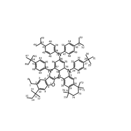 CCc1cc2c3c(oc2cc1C(C)(C)CC)B1c2cc4c(cc2N(c2ccc(C(C)(C)C)cc2)C2C=C(N(C5=CCC(C(C)C)C=C5)c5ccc(C(C)C)cc5)C=C(C12)N3c1ccc(C(C)(C)C)cc1)C(C)(C)CCC4(C)C